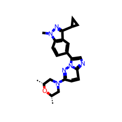 C[C@@H]1CN(c2ccc3ncc(-c4ccc5c(c4)c(C4CC4)nn5C)n3n2)C[C@H](C)O1